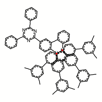 Cc1cc(C)cc(-c2ccc3c(c2)c2cc(-c4cc(C)cc(C)c4)ccc2n3-c2ccccc2-c2cc(-c3nc(-c4ccccc4)nc(-c4ccccc4)n3)ccc2-n2c3ccc(-c4cc(C)cc(C)c4)cc3c3cc(-c4cc(C)cc(C)c4)ccc32)c1